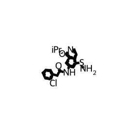 CC(C)Oc1nccc2c(SN)cc(NC(=O)Cc3ccccc3Cl)cc12